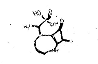 CC(N1CCCNc2c1c(=O)c2=O)P(=O)(O)O